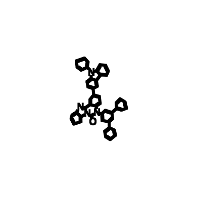 O=c1n(-c2cc(-c3ccccc3)cc(-c3ccccc3)c2)c2ccc(-c3ccc4c(c3)c3ccccc3n4-c3ccccc3)cc2c2nc3ccccc3n12